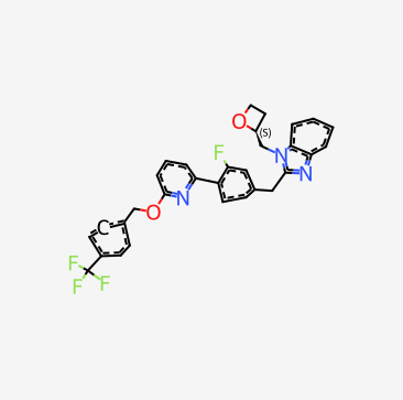 Fc1cc(Cc2nc3ccccc3n2C[C@@H]2CCO2)ccc1-c1cccc(OCc2ccc(C(F)(F)F)cc2)n1